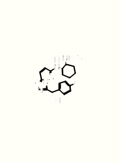 CC(=O)N[C@H]1CCCC[C@H]1Nc1ccc2nnc([C@@H](C)c3ccc(O)cc3)n2n1